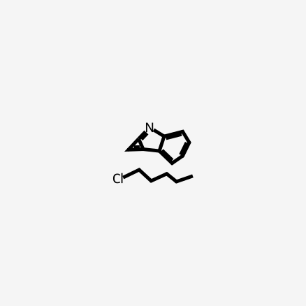 CCCCCCl.c1ccc2c3cc-3nc2c1